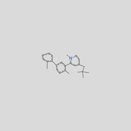 Cc1ccccc1-c1ccc(C)c(-c2cc(CC(C)(C)C)cc[n+]2C)c1